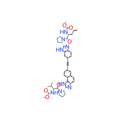 C=CC[C@H](NC(=O)OC)C(=O)N1CCC[C@H]1c1nc2ccc(C#Cc3ccc4c(ccc5nc([C@@H]6CCCN6C(=O)[C@@H](NC(=O)OC)C(C)C)[nH]c54)c3)cc2[nH]1